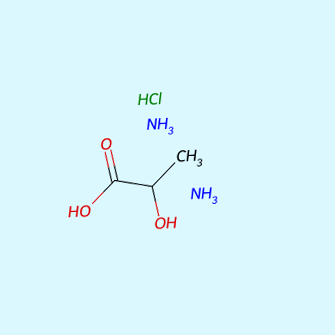 CC(O)C(=O)O.Cl.N.N